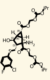 CC(C)OC(=O)OCOC(=O)[C@H]1[C@@H]2[C@H](O)[C@@H](CSc3ccc(F)c(Cl)c3)[C@@](N)(C(=O)OCOC(=O)OC(C)C)[C@H]12